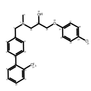 CN(Cc1ccc(-c2ccccc2C(F)(F)F)cc1)CC(O)COc1ccc(Cl)cc1